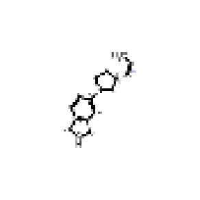 C/C=C\[C@H]1CCN(c2ccc3c(c2)CNC3)C1